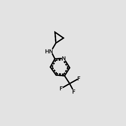 FC(F)(F)c1ccc(NC2CC2)nc1